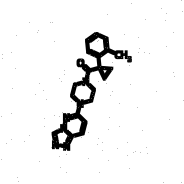 Cc1ccccc1C1(C(=O)N2CCN(c3ccc4nncn4n3)CC2)CC1